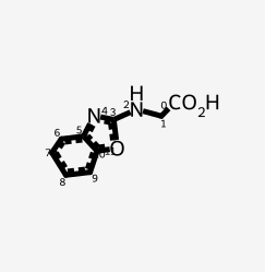 O=C(O)CNc1nc2ccccc2o1